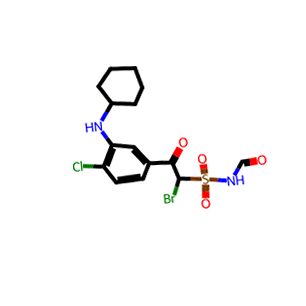 O=CNS(=O)(=O)C(Br)C(=O)c1ccc(Cl)c(NC2CCCCC2)c1